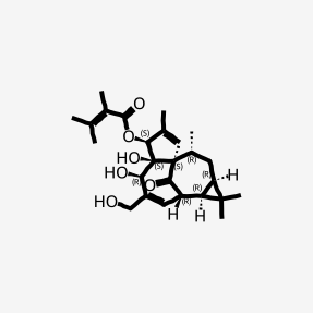 CC1=C[C@]23C(=O)[C@@H](C=C(CO)[C@@H](O)[C@]2(O)[C@H]1OC(=O)C(C)=C(C)C)[C@H]1[C@@H](C[C@H]3C)C1(C)C